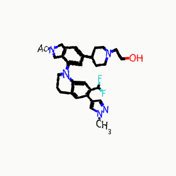 CC(=O)N1Cc2cc(C3CCN(CCO)CC3)cc(N3CCCc4cc(-c5cnn(C)c5)c(C(F)F)cc43)c2C1